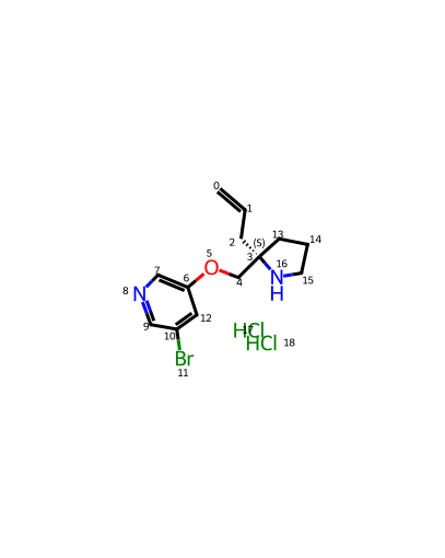 C=CC[C@]1(COc2cncc(Br)c2)CCCN1.Cl.Cl